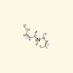 C/C=C\C(C)N(C)C(C)/C=C\CC